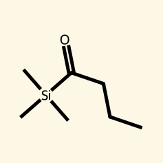 CCCC(=O)[Si](C)(C)C